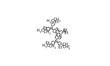 CCN(CC)c1cc2c3c(c1)-n1ccc4c(N(c5ccc(C(C)(C)CC)cc5)c5ccc(C(C)(C)CC)cc5)ccc(c41)B3c1ccc(N(c3ccc(C(C)(C)CC)cc3)c3ccc(C(C)(C)CC)cc3)c3ccn-2c13